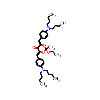 CCCCN(CCCC)c1ccc(/C=C2\OC(C)(OCC)O/C(=C\c3ccc(N(CCCC)CCCC)cc3)C2=O)cc1